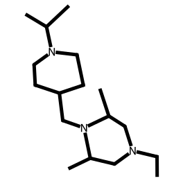 CCN1CC(C)N(CC2CCN(C(C)C)CC2)C(C)C1